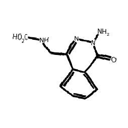 Nn1nc(CNC(=O)O)c2ccccc2c1=O